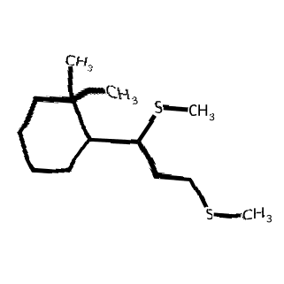 CSCCC(SC)C1CCCCC1(C)C